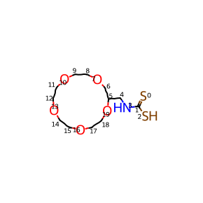 S=C(S)NCC1COCCOCCOCCOCCO1